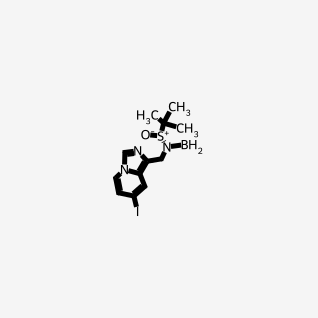 BN(Cc1ncn2ccc(I)cc12)[S+]([O-])C(C)(C)C